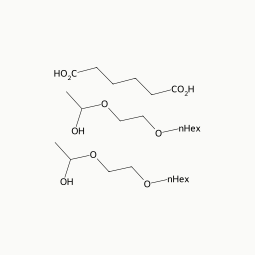 CCCCCCOCCOC(C)O.CCCCCCOCCOC(C)O.O=C(O)CCCCC(=O)O